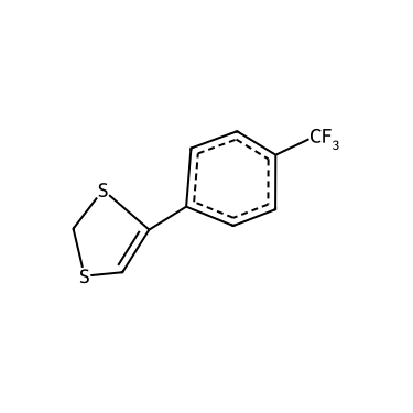 FC(F)(F)c1ccc(C2=CSCS2)cc1